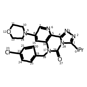 CC(C)c1nnc2c3ncc(N4CCOCC4)cc3n(Cc3ccc(Cl)cc3)c(=O)n12